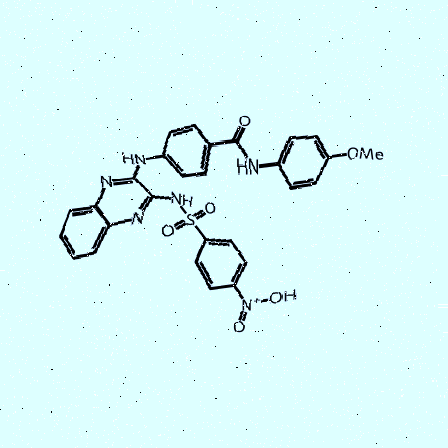 COc1ccc(NC(=O)c2ccc(Nc3nc4ccccc4nc3NS(=O)(=O)c3ccc([N+](=O)O)cc3)cc2)cc1